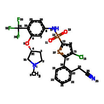 CN1CC[C@@H](Oc2cc(NS(=O)(=O)c3cc(Cl)c(-c4ccccc4CC#N)s3)ccc2C(F)(F)F)C1